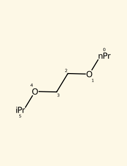 [CH2]CCOCCOC(C)C